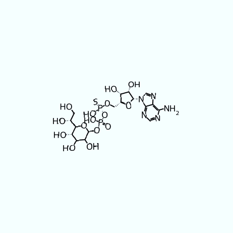 Nc1ncnc2c1ncn2[C@@H]1O[C@H](COP(O)(=S)OP(=O)(O)O[C@@H]2OC([C@H](O)CO)[C@@H](O)C(O)C2O)[C@H](O)[C@@H]1O